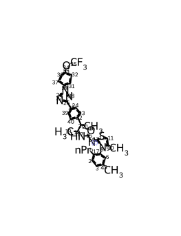 CCCc1ccc(C)cc1-n1c(C)cs/c1=N\C(=O)NC(C)C(C)c1ccc(-c2ncn(-c3ccc(OC(F)(F)F)cc3)n2)cc1